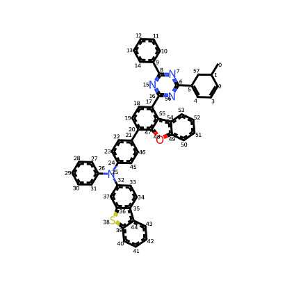 CC1C=CC=C(c2nc(-c3ccccc3)nc(-c3ccc(-c4ccc(N(c5ccccc5)c5ccc6c(c5)sc5ccccc56)cc4)c4oc5ccccc5c34)n2)C1